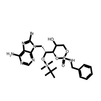 CC(C)(C)[Si](C)(C)O[C@H](Cn1c(Br)nc2c(N)ncnc21)[C@@H]1OP(=O)(NCc2ccccc2)OCC1O